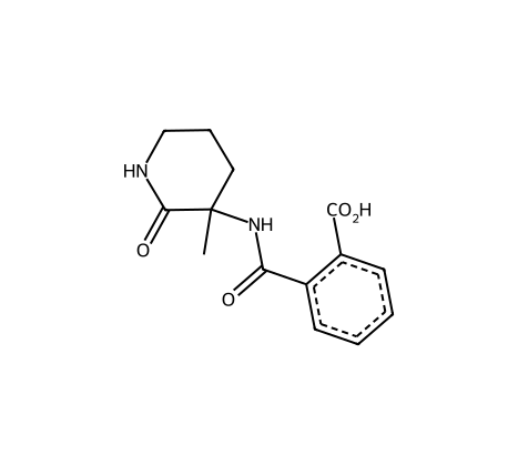 CC1(NC(=O)c2ccccc2C(=O)O)CCCNC1=O